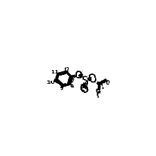 CC(F)OS(=O)Oc1ccccc1